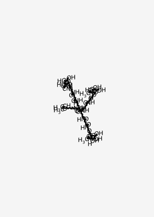 CC(=O)NC1C(OCCOCCNC(=O)CCCC(=O)NCCCCC(NC(=O)CCCC(=O)NCCOCCOC2OC(CO)C(O)C(O)C2NC(C)=O)C(=O)NC(CCCCNC(=O)CCCC(=O)NCCOCCOC2OC(CO)C(O)C(O)C2NC(C)=O)C(=O)NCCCCCCOC(C)(C)C)OC(CO)C(O)C1O